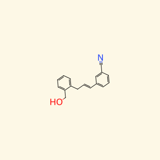 N#Cc1cccc(/C=C/Cc2ccccc2CO)c1